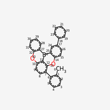 Cc1ccccc1-c1ccc2c3c1Oc1ccc(-c4ccccc4)cc1B3c1ccccc1O2